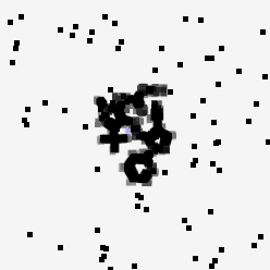 Cn1nc(C(C)(C)C)c(/N=N/c2c(C#N)cnn2-c2ccccn2)c1NC(=O)OS